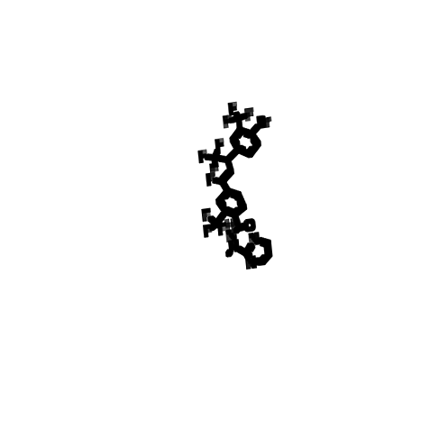 CN(NC(=O)c1ccc(C(F)=CC(c2ccc(Br)c(C(F)(F)F)c2)C(F)(F)F)cc1C(F)(F)F)c1ncccn1